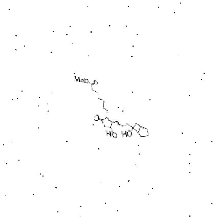 COC(=O)CCCCCC[C@H]1C(=O)C[C@@H](O)[C@@H]1/C=C/CC1(O)CC2CCCC21